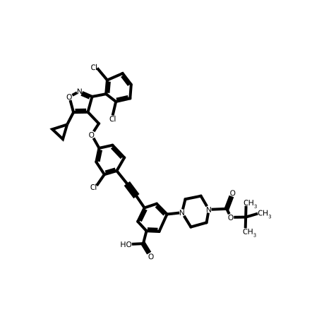 CC(C)(C)OC(=O)N1CCN(c2cc(C#Cc3ccc(OCc4c(-c5c(Cl)cccc5Cl)noc4C4CC4)cc3Cl)cc(C(=O)O)c2)CC1